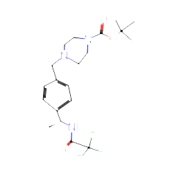 C[C@H](NC(=O)C(F)(F)F)c1ccc(CN2CCN(C(=O)OC(C)(C)C)CC2)cc1